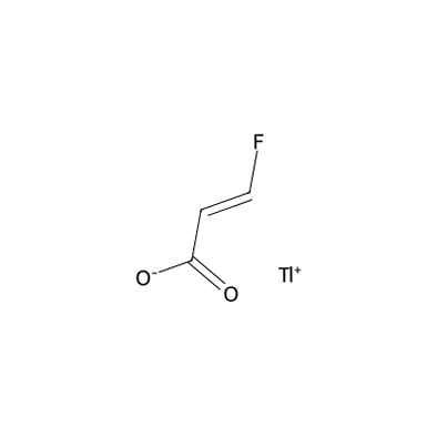 O=C([O-])C=CF.[Tl+]